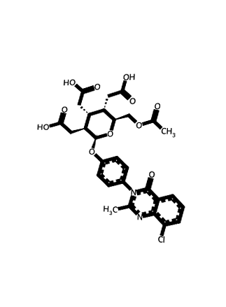 CC(=O)OC[C@H]1O[C@@H](Oc2ccc(-n3c(C)nc4c(Cl)cccc4c3=O)cc2)[C@@H](CC(=O)O)[C@H](CC(=O)O)[C@@H]1CC(=O)O